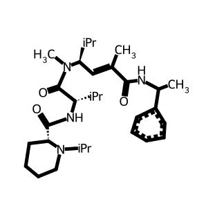 C/C(=C\[C@H](C(C)C)N(C)C(=O)[C@@H](NC(=O)[C@H]1CCCCN1C(C)C)C(C)C)C(=O)NC(C)c1ccccc1